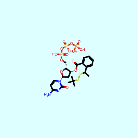 CC(SSC(C)(C)C)c1ccccc1C(=O)O[C@@H]1C[C@H](n2ccc(N)nc2=O)O[C@@H]1COP(=O)(O)OP(=O)(O)OP(=O)(O)O